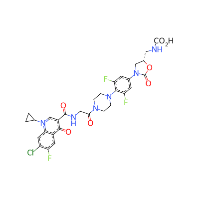 O=C(O)NC[C@H]1CN(c2cc(F)c(N3CCN(C(=O)CNC(=O)c4cn(C5CC5)c5cc(Cl)c(F)cc5c4=O)CC3)c(F)c2)C(=O)O1